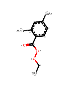 COc1ccc(C(=O)OO[CH]C(C)(C)C)c(OC)c1